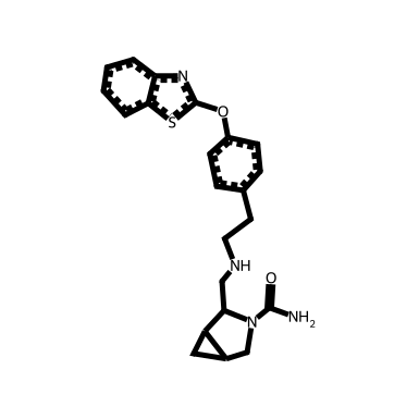 NC(=O)N1CC2CC2C1CNCCc1ccc(Oc2nc3ccccc3s2)cc1